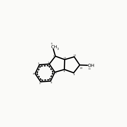 CC1c2ccccc2C2CC(O)CC12